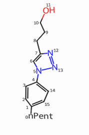 CCCCCc1ccc(-n2cc(CCCO)nn2)cc1